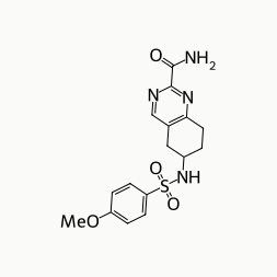 COc1ccc(S(=O)(=O)NC2CCc3nc(C(N)=O)ncc3C2)cc1